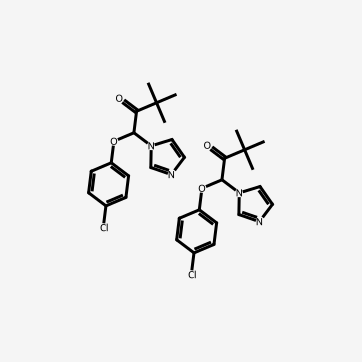 CC(C)(C)C(=O)C(Oc1ccc(Cl)cc1)n1ccnc1.CC(C)(C)C(=O)C(Oc1ccc(Cl)cc1)n1ccnc1